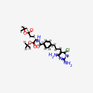 CC(C)(C)OC(=O)CC[C@H](NC(=O)c1ccc(CCCc2c(N)nc(N)nc2Cl)cc1)C(=O)OC(C)(C)C